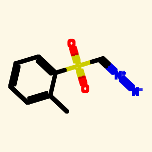 Cc1ccccc1S(=O)(=O)C=[N+]=[N-]